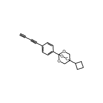 C#CC#Cc1ccc(C23OCC(C4CCC4)(CO2)CO3)cc1